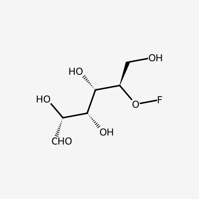 O=C[C@H](O)[C@@H](O)[C@H](O)[C@@H](CO)OF